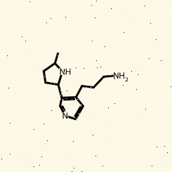 CC1CCC(c2cnccc2CCCN)N1